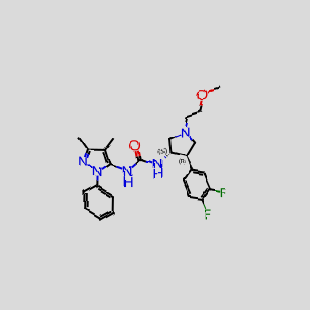 COCCN1C[C@@H](NC(=O)Nc2c(C)c(C)nn2-c2ccccc2)[C@H](c2ccc(F)c(F)c2)C1